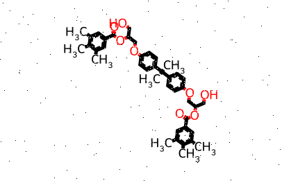 Cc1cc(C(=O)OC(CO)COc2ccc(C(C)(C)c3ccc(OCC(CO)OC(=O)c4cc(C)c(C)c(C)c4)cc3)cc2)cc(C)c1C